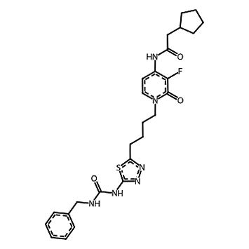 O=C(CC1CCCC1)Nc1ccn(CCCCc2nnc(NC(=O)NCc3ccccc3)s2)c(=O)c1F